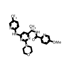 COc1ccc(C(=O)N[C@@H](C)c2cc(Nc3ccc(C(F)(F)F)cn3)nc(N3CCOCC3)n2)nc1